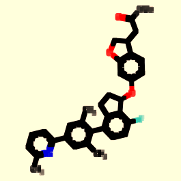 COC(=O)CC1COc2cc(O[C@@H]3CCc4c(-c5c(C)cc(-c6cccc(C)n6)cc5C)ccc(F)c43)ccc21